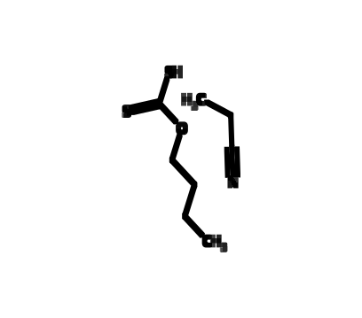 CCC#N.CCCCOC(=S)S